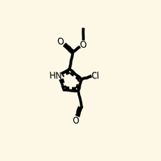 COC(=O)c1[nH]cc(C=O)c1Cl